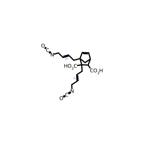 O=C=NC/C=C/CC12C=CC(C1)C(C(=O)O)C2(C/C=C/CN=C=O)C(=O)O